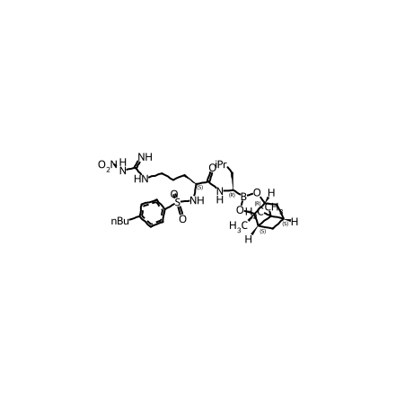 CCCCc1ccc(S(=O)(=O)N[C@@H](CCCNC(=N)N[N+](=O)[O-])C(=O)N[C@@H](CC(C)C)B2O[C@@H]3C[C@@H]4C[C@@H](C4(C)C)[C@]3(C)O2)cc1